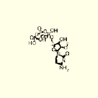 Nc1ccn([C@@H]2O[C@H](COP(=O)(O)OP(=O)(O)OP(=O)(O)O)C(O)C2OF)c(=O)n1